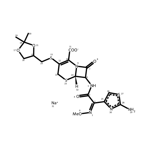 CO/N=C(\C(=O)NC1C(=O)N2C(C(=O)[O-])=C(SCC3COC(C)(C)O3)CS[C@@H]12)c1csc(N)n1.[Na+]